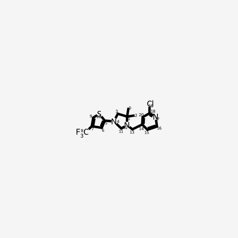 CC1(C)CN(c2cc(C(F)(F)F)cs2)CN1Cc1ccnc(Cl)c1